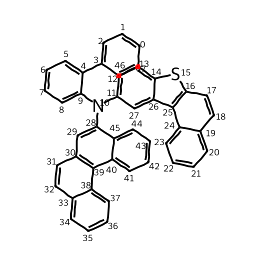 c1ccc(-c2ccccc2N(c2ccc3sc4ccc5ccccc5c4c3c2)c2cc3ccc4ccccc4c3c3ccccc23)cc1